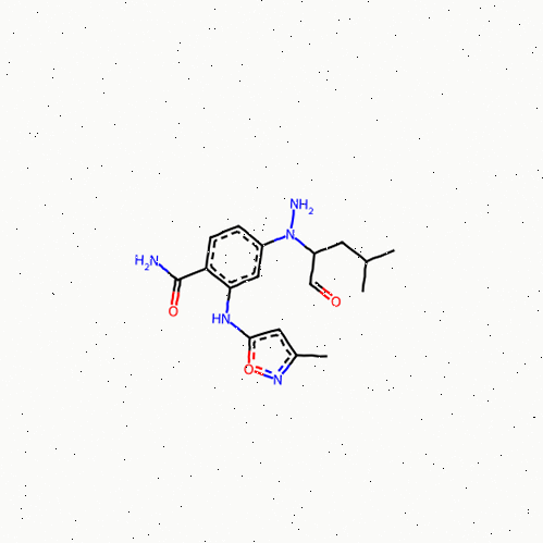 Cc1cc(Nc2cc(N(N)C(C=O)CC(C)C)ccc2C(N)=O)on1